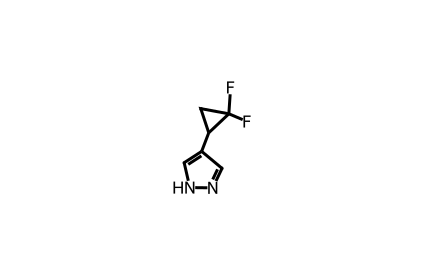 FC1(F)CC1c1cn[nH]c1